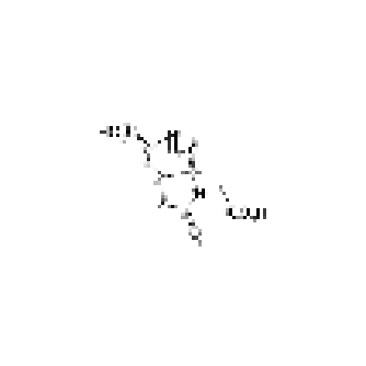 N[C@@H](CC1=CC(=O)N(CC(=O)O)C1=O)C(=O)O